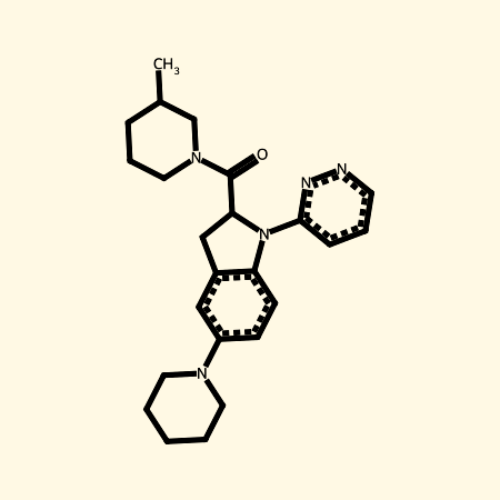 CC1CCCN(C(=O)C2Cc3cc(N4CCCCC4)ccc3N2c2cccnn2)C1